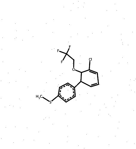 CSc1ccc(C2C=[C]C=C(Cl)C2OCC(F)(F)F)cc1